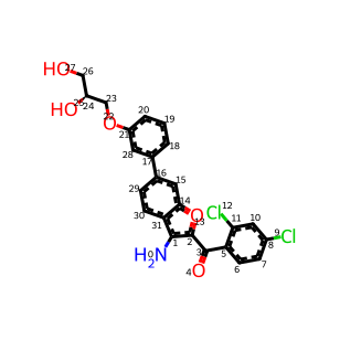 Nc1c(C(=O)c2ccc(Cl)cc2Cl)oc2cc(-c3cccc(OC[C@@H](O)CO)c3)ccc12